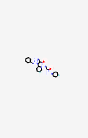 O=C(CCn1c(=O)c2cnn(Cc3ccccc3)c2c2ccc(F)cc21)Nc1ccc(F)cc1F